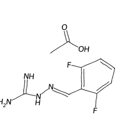 CC(=O)O.N=C(N)NN=Cc1c(F)cccc1F